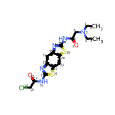 CCN(CC)CC(=O)Nc1nc2cc3nc(NC(=O)CCl)sc3cc2s1